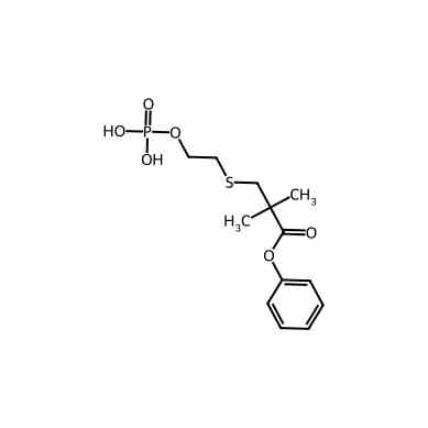 CC(C)(CSCCOP(=O)(O)O)C(=O)Oc1ccccc1